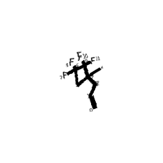 C=CCC1(C)CC(F)(F)C1(F)F